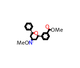 CO/N=C1\C[C@@H](c2ccccc2)O[C@@H](c2cccc(C(=O)OC)c2)C1